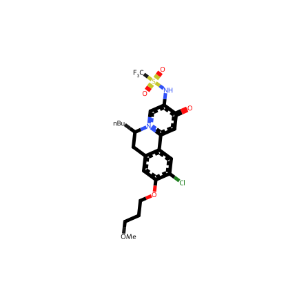 CCCCC1Cc2cc(OCCCOC)c(Cl)cc2-c2cc(=O)c(NS(=O)(=O)C(F)(F)F)cn21